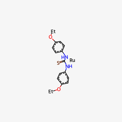 CCOc1ccc(NC(=S)Nc2ccc(OCC)cc2)cc1.[Ru]